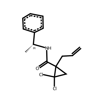 C=CCC1(C(=O)N[C@H](C)c2ccccc2)CC1(Cl)Cl